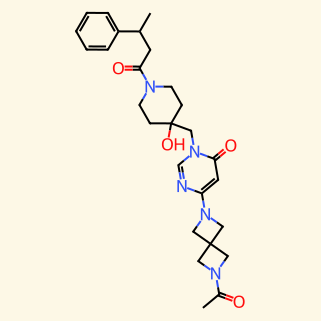 CC(=O)N1CC2(C1)CN(c1cc(=O)n(CC3(O)CCN(C(=O)CC(C)c4ccccc4)CC3)cn1)C2